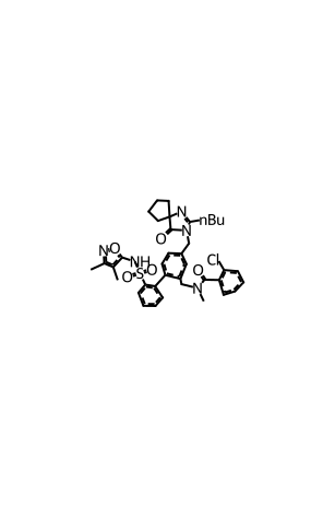 CCCCC1=NC2(CCCC2)C(=O)N1Cc1ccc(-c2ccccc2S(=O)(=O)Nc2onc(C)c2C)c(CN(C)C(=O)c2ccccc2Cl)c1